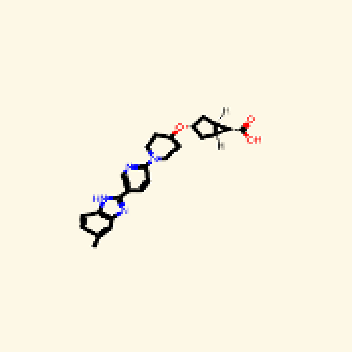 Cc1ccc2[nH]c(-c3ccc(N4CCC(O[C@@H]5C[C@@H]6[C@H](C5)[C@H]6C(=O)O)CC4)nc3)nc2c1